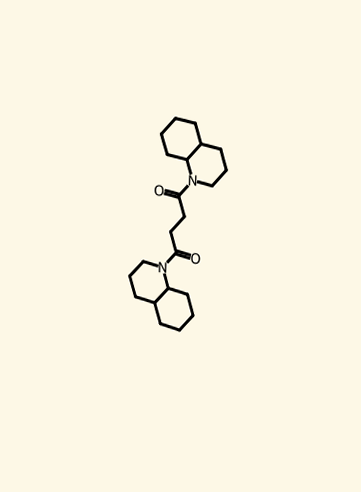 O=C(CCC(=O)N1CCCC2CCCCC21)N1CCCC2CCCCC21